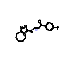 O=C(/C=C/Sc1nnc2n1CCCCC2)c1ccc(F)cc1